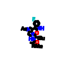 CNC(C)C(=O)NC(C(=O)N1CCC2C1C(c1c[nH]c3ccc(F)cc13)CN2C(C)=O)C(C)(C)C